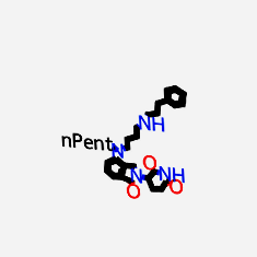 CCCCCN(CCCCNCCCc1ccccc1)c1cccc2c1CN(C1CCC(=O)NC1=O)C2=O